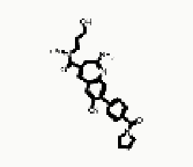 CCCN(CCCO)C(=O)C1=Cc2cc(C#N)c(-c3ccc(C(=O)N4CCCC4)cc3)cc2N=C(N)C1